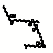 CCCCCCC(O)CC1OC1CCCCCCCC(=O)OC(CC)COC(=O)CCCCCCCC1OC1CC(O)CCCCC(C)C